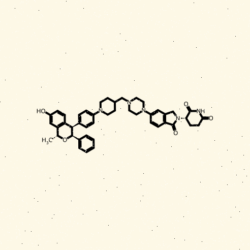 C[C@H]1O[C@H](c2ccccc2)[C@H](c2ccc(N3CCC(CN4CCN(c5ccc6c(c5)CN([C@H]5CCC(=O)NC5=O)C6=O)CC4)CC3)cc2)c2ccc(O)cc21